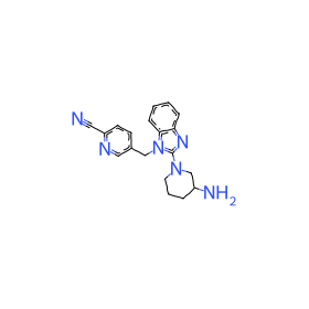 N#Cc1ccc(Cn2c(N3CCCC(N)C3)nc3ccccc32)cn1